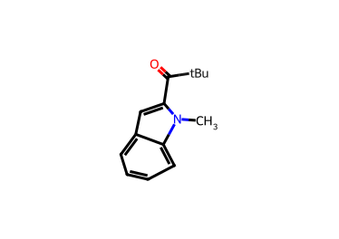 Cn1c(C(=O)C(C)(C)C)cc2ccccc21